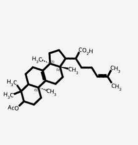 CC(=O)OC1CC[C@]2(C)C3=C(CCC2C1(C)C)[C@@]1(C)CCC(C(CCC=C(C)C)C(=O)O)[C@]1(C)CC3